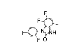 Cc1cc(F)c(F)c2c1[nH]c(=O)n2-c1ccc(I)cc1F